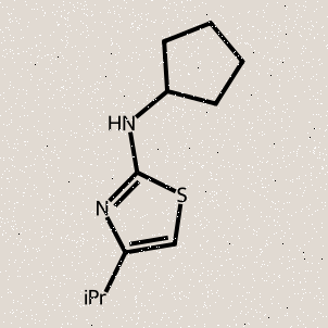 CC(C)c1csc(NC2CCCC2)n1